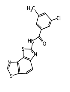 Cc1cc(Cl)cc(C(=O)Nc2nc3ccc4scnc4c3s2)c1